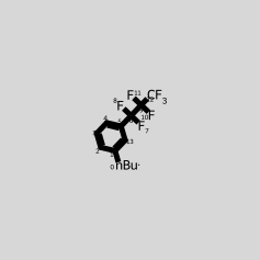 CCC[CH]c1cccc(C(F)(F)C(F)(F)C(F)(F)F)c1